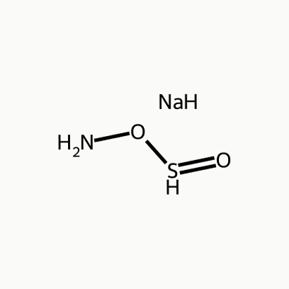 NO[SH]=O.[NaH]